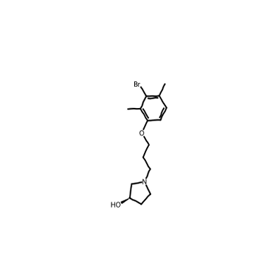 Cc1ccc(OCCCN2CC[C@@H](O)C2)c(C)c1Br